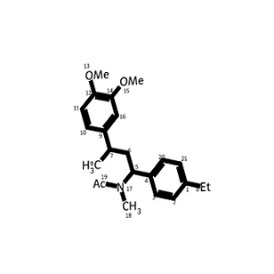 CCc1ccc(C(CC(C)c2ccc(OC)c(OC)c2)N(C)C(C)=O)cc1